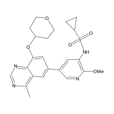 COc1ncc(-c2cc(OC3CCOCC3)c3ncnc(C)c3c2)cc1NS(=O)(=O)C1CC1